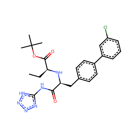 CC[C@H](N[C@@H](Cc1ccc(-c2cccc(Cl)c2)cc1)C(=O)Nc1nnn[nH]1)C(=O)OC(C)(C)C